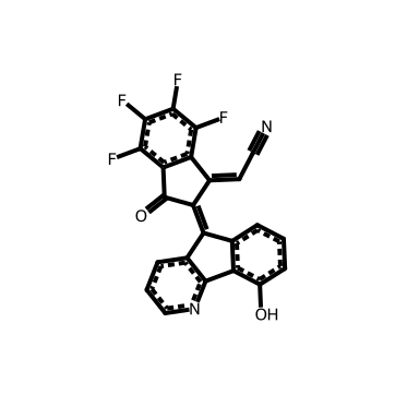 N#C/C=C1/C(=C2/c3cccnc3-c3c(O)cccc32)C(=O)c2c(F)c(F)c(F)c(F)c21